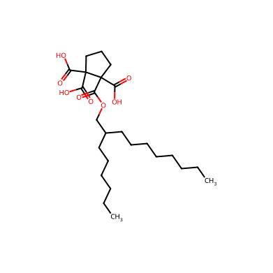 CCCCCCCCC(CCCCCC)COC(=O)C1(C(=O)O)CCCC1(C(=O)O)C(=O)O